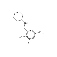 Cc1cc(F)c(O)c(CNC2CCCCC2)c1